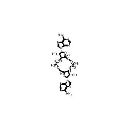 Nc1ncnc2c1ncn2[C@@H]1O[C@@H]2COP(=O)(S)NC3[C@@H](COP(=O)(S)NC2[C@@H]1O)O[C@@H](n1cnc2c(N)ncnc21)[C@H]3O